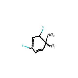 O=[N+]([O-])C1([N+](=O)[O-])C=CC(F)=CC1F